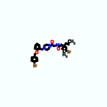 C=CCC(CC)(CCBr)CC(=O)NCC(=O)N1CCN(Cc2ccccc2OCc2ccc(Br)cc2)CC1